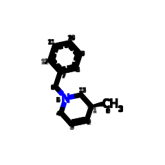 C[C@H]1C=CCN(Cc2ccccc2)C1